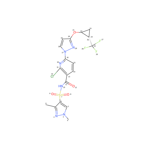 Cc1nn(C)cc1S(=O)(=O)NC(=O)c1ccc(-n2ccc(OC3C[C@@H]3C(F)(F)F)n2)nc1Cl